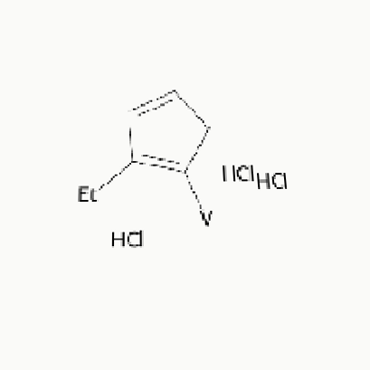 CCC1=[C]([V])CC=C1.Cl.Cl.Cl